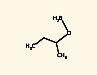 BOC(C)CC